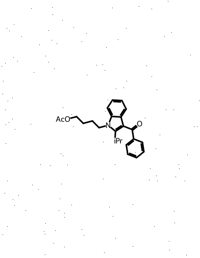 CC(=O)OCCCCn1c(C(C)C)c(C(=O)c2ccccc2)c2ccccc21